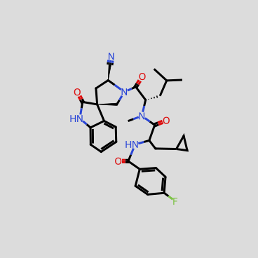 CC(C)C[C@@H](C(=O)N1C[C@]2(C[C@H]1C#N)C(=O)Nc1ccccc12)N(C)C(=O)C(CC1CC1)NC(=O)c1ccc(F)cc1